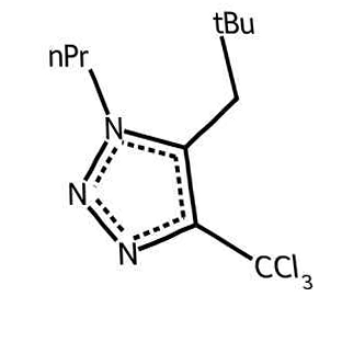 CCCn1nnc(C(Cl)(Cl)Cl)c1CC(C)(C)C